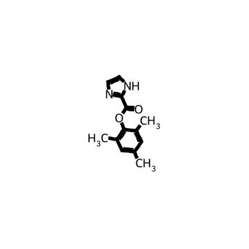 Cc1cc(C)c(OC(=O)c2ncc[nH]2)c(C)c1